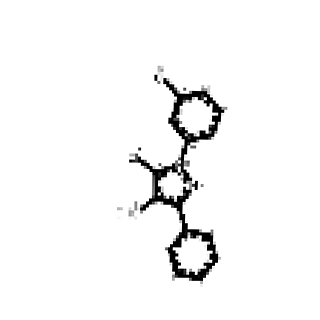 O=Cc1c(-c2ccccc2)nn(-c2cccc(Cl)c2)c1Cl